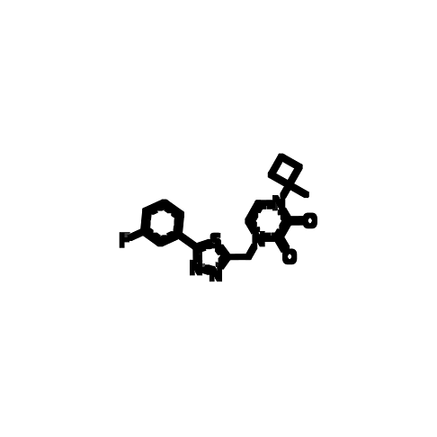 CC1(n2ccn(Cc3nnc(-c4cccc(F)c4)s3)c(=O)c2=O)CCC1